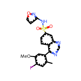 COc1cc(-c2ncnc3cc(S(=O)(=O)Nc4ccon4)ccc23)c(C)cc1I